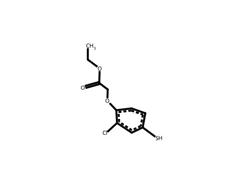 CCOC(=O)COc1ccc(S)cc1Cl